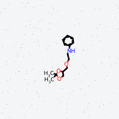 CC1(C)OCC(COCCNc2ccccc2)O1